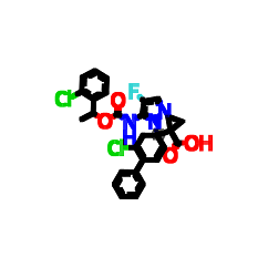 CC(OC(=O)Nc1c(F)cnn1[C@@]1(C2(C(=O)O)CC2)C=CC(c2ccccc2)=C(Cl)C1)c1ccccc1Cl